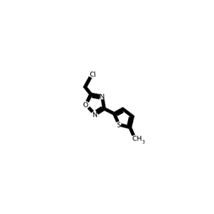 Cc1ccc(-c2noc(CCl)n2)s1